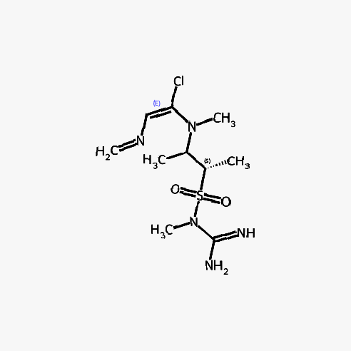 C=N/C=C(/Cl)N(C)C(C)[C@H](C)S(=O)(=O)N(C)C(=N)N